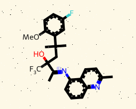 COc1ccc(F)cc1C(C)(C)CC(O)(/C(C)=N/c1cccc2nc(C)ccc12)C(F)(F)F